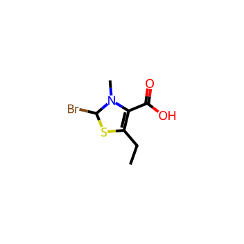 CCC1=C(C(=O)O)N(C)C(Br)S1